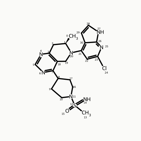 C[C@@H]1Cc2ncnc(C3CCN(S(C)(=N)=O)CC3)c2CN1c1cc(Cl)nc2[nH]ccc12